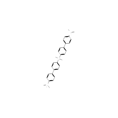 C[SiH](C)c1ccc(-c2ccc([Si](C)(C)c3ccc(-c4ccc([SiH](C)C)cc4)cc3)cc2)cc1